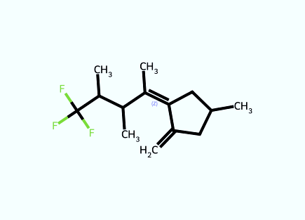 C=C1CC(C)C/C1=C(\C)C(C)C(C)C(F)(F)F